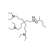 CCCC(C)O[SiH2]CCC(CCCN(CC)CC)(CCCN(CC)CC)CCCN(CC)CC